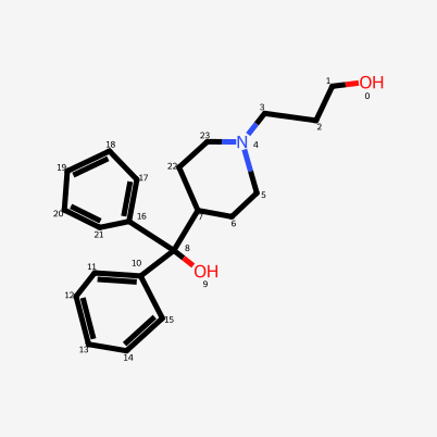 OCCCN1CCC(C(O)(c2ccccc2)c2ccccc2)CC1